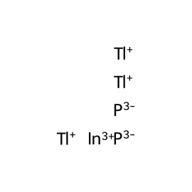 [In+3].[P-3].[P-3].[Tl+].[Tl+].[Tl+]